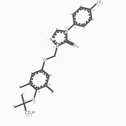 Cc1cc(OCn2ncn(-c3ccc(C(F)(F)F)cc3)c2=O)cc(C)c1OC(C)(C)C(=O)O